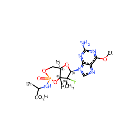 CCOc1nc(N)nc2c1ncn2[C@@H]1O[C@@H]2COP(=O)(NC(C(=O)O)C(C)C)O[C@H]2[C@@]1(C)F